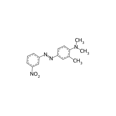 Cc1cc(N=Nc2cccc([N+](=O)[O-])c2)ccc1N(C)C